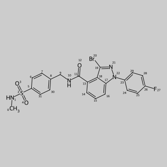 CNS(=O)(=O)c1ccc(CNC(=O)c2cccc3c2c(Br)nn3-c2ccc(F)cc2)cc1